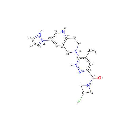 Cc1cc(C(=O)N2CC(F)C2)nnc1N1CCc2ncc(-n3cccn3)cc2C1